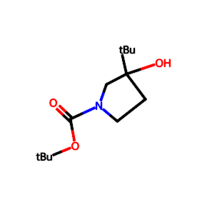 CC(C)(C)OC(=O)N1CCC(O)(C(C)(C)C)C1